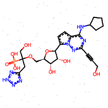 O=P(O)(O)C(CO)(Cc1nn[nH]n1)OC[C@H]1OC(c2ccc3c(NC4CCCC4)nc(C#CCO)nn23)[C@H](O)[C@@H]1O